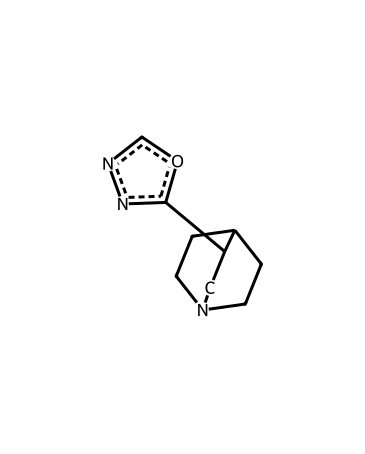 c1nnc(C2CN3CCC2CC3)o1